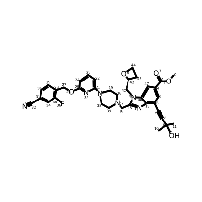 COC(=O)c1cc(C#CC(C)(C)O)c2nc(CN3CCN(c4cccc(OCc5ccc(C#N)cc5F)n4)CC3)n(C[C@@H]3CCO3)c2c1